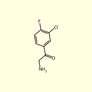 NCC(=O)c1ccc(F)c(Cl)c1